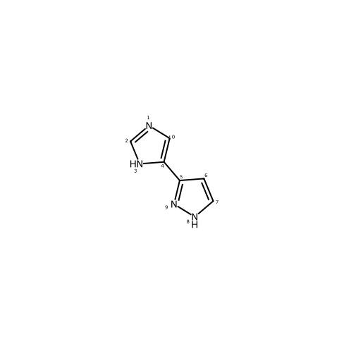 [c]1nc[nH]c1-c1cc[nH]n1